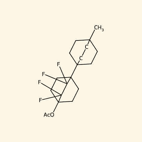 CC(=O)OC12CCC(C34CCC(C)(CC3)CC4)(CC1)C(F)(F)C2(F)F